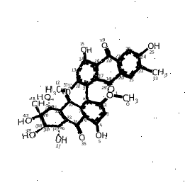 COc1cc(O)c2c(c1-c1c(OC)cc(O)c3c1C(=O)c1cc(C)c(O)cc1C3=O)C(=O)C1=C(C2=O)[C@H](O)[C@@H](O)[C@](C)(O)[C@@H]1O